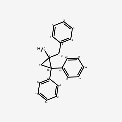 CC1(Sc2ccccc2)CC1(c1ccccc1)c1ccccc1